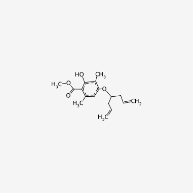 C=CCC(CC=C)Oc1cc(C)c(C(=O)OC)c(O)c1C